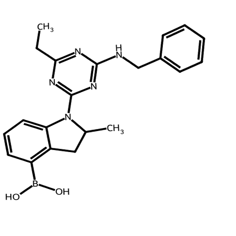 CCc1nc(NCc2ccccc2)nc(N2c3cccc(B(O)O)c3CC2C)n1